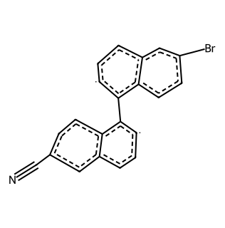 N#Cc1ccc2c(-c3[c]ccc4cc(Br)ccc34)[c]ccc2c1